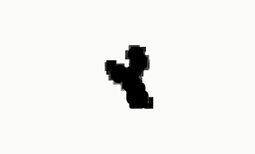 CC(C)(C)OC(=O)ON1CCC(c2ccc(F)cc2)C(OCc2ccc3c(c2)CCC3)C1